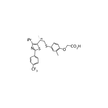 Cc1cc(SC[C@@H](C)c2sc(-c3ccc(C(F)(F)F)cc3)nc2C(C)C)ccc1OCC(=O)O